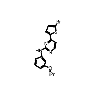 CC(C)Oc1cccc(Nc2nccc(-c3ccc(Br)s3)n2)c1